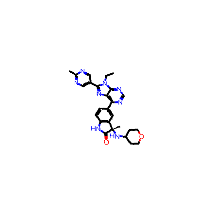 CCn1c(-c2cnc(C)nc2)nc2c(-c3ccc4c(c3)[C@](C)(NC3CCOCC3)C(=O)N4)ncnc21